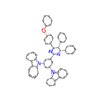 c1ccc(Oc2ccc(-c3nc(-c4cc(-n5c6ccccc6c6ccccc65)cc(-n5c6ccccc6c6ccccc65)c4)nc(-c4ccccc4)c3-c3ccccc3)cc2)cc1